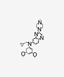 COC1=CC(OC)CC(N(CC2CC2)c2ccc3ncc(N4CCN(C)CC4)nc3c2)=C1